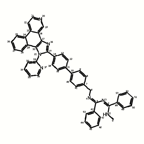 CN/C(=N\C(=N/Cc1ccc(-c2ccc(-c3nc4c5cnccc5c5ccccc5c4n3-c3ccccn3)cc2)cc1)c1ccccc1)c1ccccc1